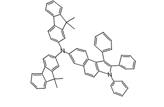 CC1(C)c2ccccc2-c2ccc(N(c3ccc4c(c3)C(C)(C)c3ccccc3-4)c3ccc4c(ccc5c4c(-c4ccccc4)c(-c4ccccc4)n5-c4ccccc4)c3)cc21